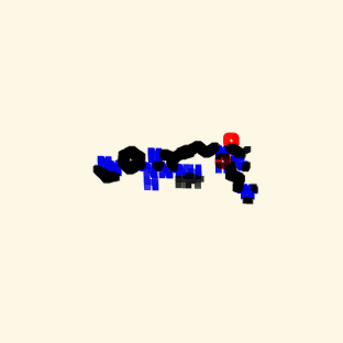 CCCNc1nc(Nc2cccc(-n3cccn3)c2)ncc1C#CCCCNC(=O)[C@H](C)N(C)C(=O)/C=C/CN(C)C